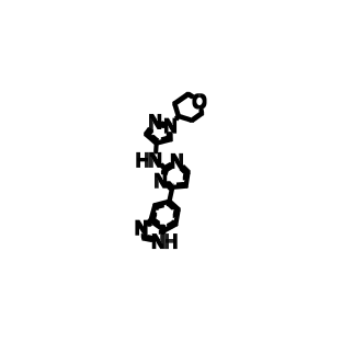 c1cc(-c2ccc3[nH]cnc3c2)nc(Nc2cnn(C3CCOCC3)c2)n1